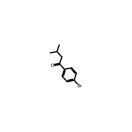 CC(C)CC(=O)c1ccc(Br)cc1